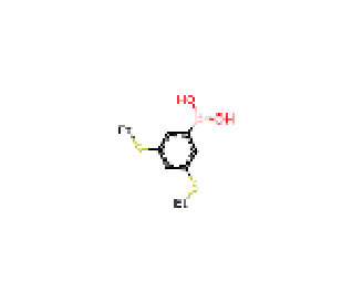 CCSc1cc(SCC)cc(B(O)O)c1